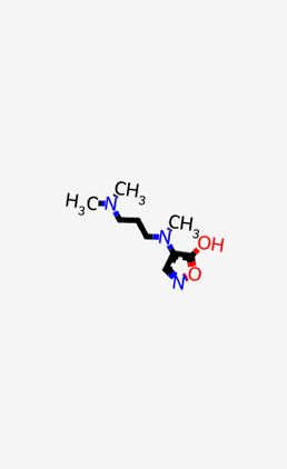 CN(C)CCCN(C)c1cnoc1O